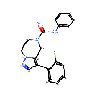 O=C(Nc1ccccc1)N1CCn2ncc(-c3ccccc3F)c2C1